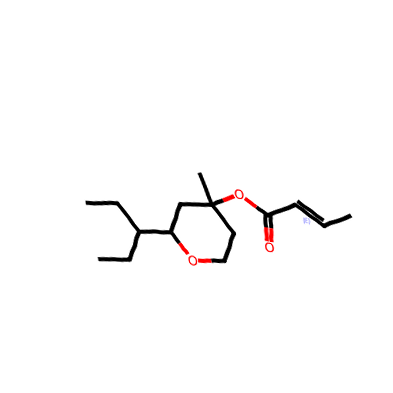 C/C=C/C(=O)OC1(C)CCOC(C(CC)CC)C1